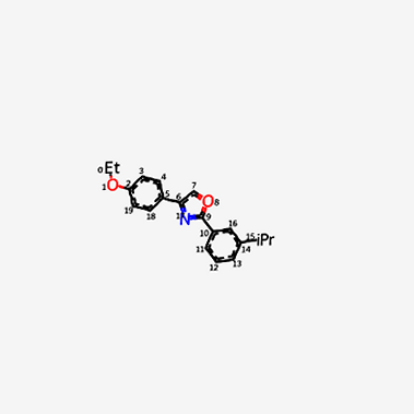 CCOc1ccc(-c2coc(-c3cccc(C(C)C)c3)n2)cc1